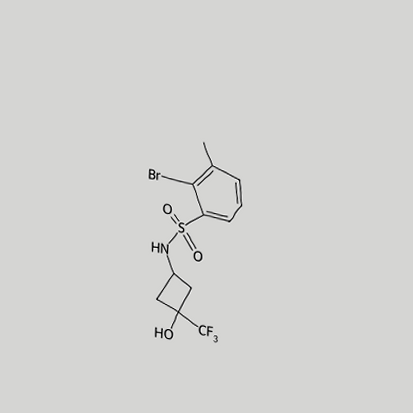 Cc1cccc(S(=O)(=O)NC2CC(O)(C(F)(F)F)C2)c1Br